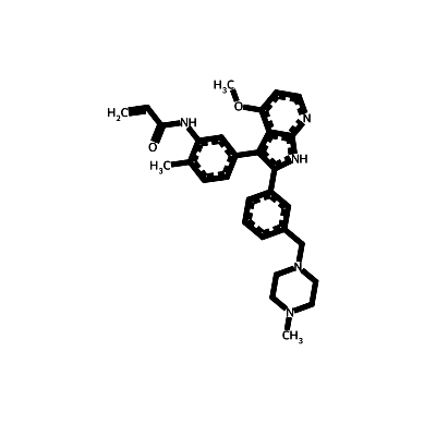 C=CC(=O)Nc1cc(-c2c(-c3cccc(CN4CCN(C)CC4)c3)[nH]c3nccc(OC)c23)ccc1C